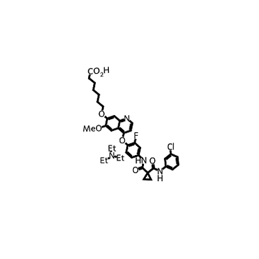 CCN(CC)CC.COc1cc2c(Oc3ccc(NC(=O)C4(C(=O)Nc5cccc(Cl)c5)CC4)cc3F)ccnc2cc1OCCCCCCC(=O)O